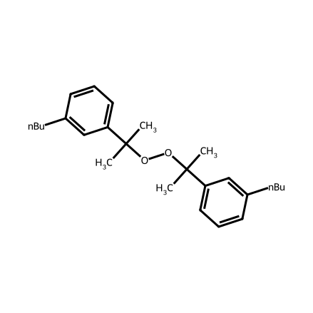 CCCCc1cccc(C(C)(C)OOC(C)(C)c2cccc(CCCC)c2)c1